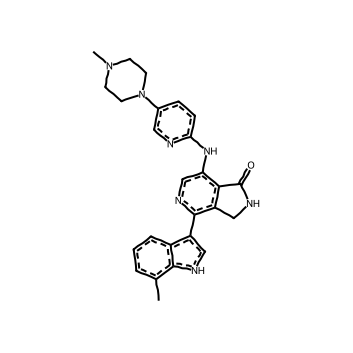 Cc1cccc2c(-c3ncc(Nc4ccc(N5CCN(C)CC5)cn4)c4c3CNC4=O)c[nH]c12